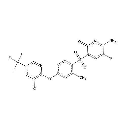 Cc1cc(Oc2ncc(C(F)(F)F)cc2Cl)ccc1S(=O)(=O)n1cc(F)c(N)nc1=O